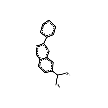 CC(C)c1ccc2cnc(-c3ccccc3)nc2c1